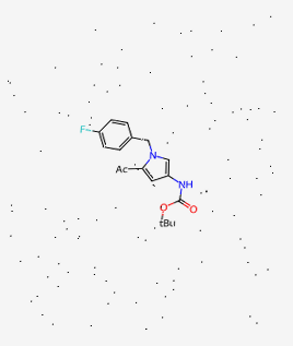 CC(=O)c1cc(NC(=O)OC(C)(C)C)cn1Cc1ccc(F)cc1